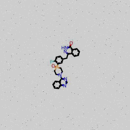 O=c1[nH]nc(Cc2ccc(F)c(P3(=O)CCN(c4ncnc5ccccc45)CC3)c2)c2ccccc12